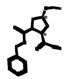 COC(=O)[C@@H]1C[C@@H](OC(C)(C)C)CN1C(=O)OCc1ccccc1